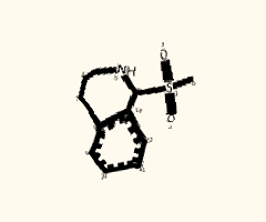 CS(=O)(=O)C1NCCc2ccccc21